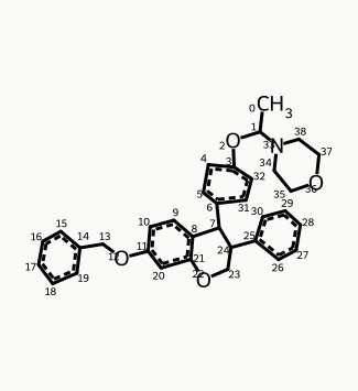 CC(Oc1ccc(C2c3ccc(OCc4ccccc4)cc3OCC2c2ccccc2)cc1)N1CCOCC1